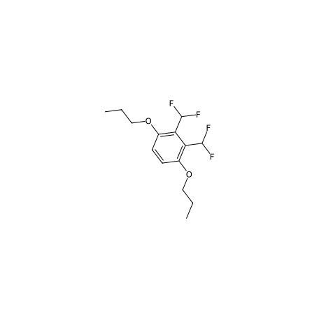 CCCOc1ccc(OCCC)c(C(F)F)c1C(F)F